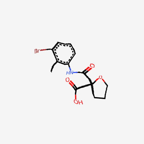 Cc1c(Br)cccc1NC(=O)C1(C(=O)O)CCCO1